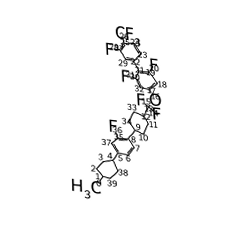 CC1CCC(c2ccc(C3CCC(C(F)(F)Oc4cc(F)c(-c5ccc(C(F)(F)F)c(F)c5)c(F)c4)CC3)c(F)c2)CC1